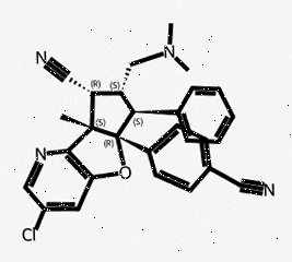 CN(C)C[C@H]1[C@@H](C#N)[C@@]2(C)c3ncc(Cl)cc3O[C@@]2(c2ccc(C#N)cc2)[C@@H]1c1ccccc1